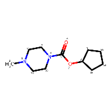 CN1CCN(C(=O)OC2CCCC2)CC1